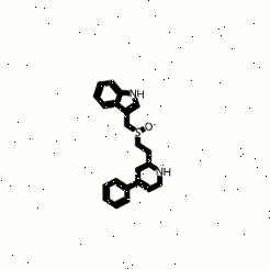 [O-][S+](CCC1CC(c2ccccc2)=CCN1)Cc1c[nH]c2ccccc12